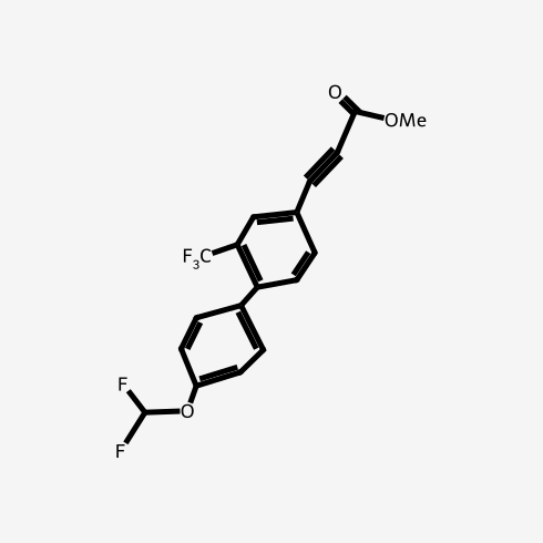 COC(=O)C#Cc1ccc(-c2ccc(OC(F)F)cc2)c(C(F)(F)F)c1